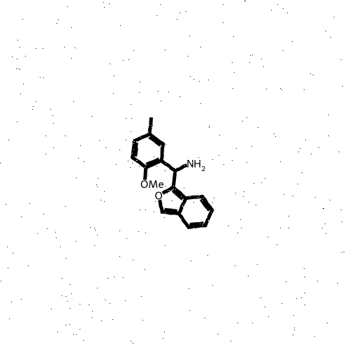 COc1ccc(C)cc1C(N)c1occ2ccccc12